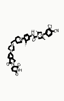 C[C@@H]1CN(c2ccc(C#N)c(Cl)c2)[C@@H](C)CN1C(=O)Nc1ccc(N2CCC(CN3CCN(c4ccc5c(c4)CN([C@H]4CCC(=O)NC4=O)C5=O)CC3)CC2)c(F)c1